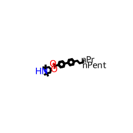 CCCCCC(CCC)CCc1ccc(-c2ccc(C(=O)OC3CC(C)(C)NC(C)(C)C3)cc2)cc1